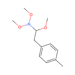 COC(Cc1ccc(C)cc1)N(OC)OC